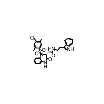 Cc1cc(S(=O)(=O)N2c3ccccc3NC(=O)[C@H]2CC(=O)NCCc2c[nH]c3ccccc23)c(C)cc1Cl